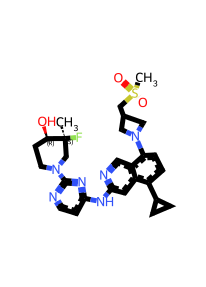 C[C@]1(F)CN(c2nccc(Nc3cc4c(C5CC5)ccc(N5CC(CS(C)(=O)=O)C5)c4cn3)n2)CC[C@H]1O